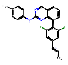 C/C=C/c1cc(F)c(-c2cccc3cnc(Nc4ccc(C)cc4)nc23)c(F)c1